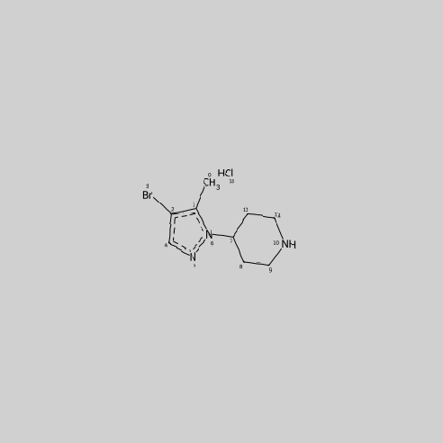 Cc1c(Br)cnn1C1CCNCC1.Cl